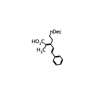 CCCCCCCCCCCCC(C=Cc1ccccc1)=C(C)C(=O)O